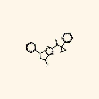 O=C(c1nc2n(n1)C(c1ccccc1)CC2F)C1(c2ccccn2)CC1